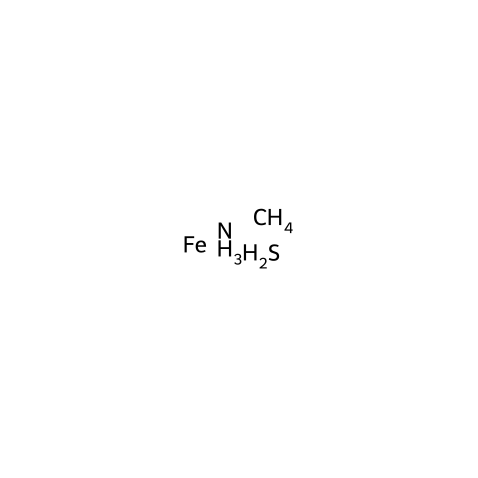 C.N.S.[Fe]